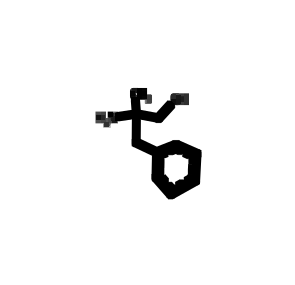 CC(N)([CH]O)Cc1ccccc1